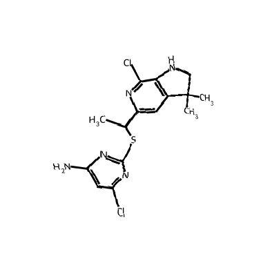 CC(Sc1nc(N)cc(Cl)n1)c1cc2c(c(Cl)n1)NCC2(C)C